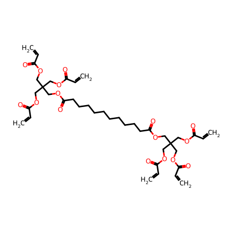 C=CC(=O)OCC(COC(=O)C=C)(COC(=O)C=C)COC(=O)CCCCCCCCCCC(=O)OCC(COC(=O)C=C)(COC(=O)C=C)COC(=O)C=C